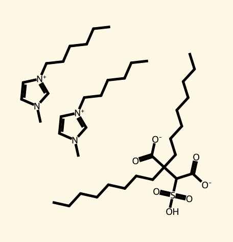 CCCCCCCCC(CCCCCCCC)(C(=O)[O-])C(C(=O)[O-])S(=O)(=O)O.CCCCCC[n+]1ccn(C)c1.CCCCCC[n+]1ccn(C)c1